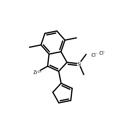 Cc1ccc(C)c2c1[C]([Zr+2])=C(C1=CC=CC1)C2=[Si](C)C.[Cl-].[Cl-]